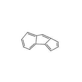 C1=CC2=Cc3ccccc3C2=C1